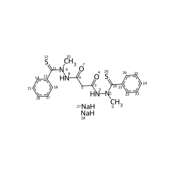 CN(NC(=O)CC(=O)NN(C)C(=S)c1ccccc1)C(=S)c1ccccc1.[NaH].[NaH]